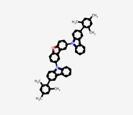 Cc1cc(C)c(-c2ccc3c(c2)c2ccccc2n3-c2ccc3oc4ccc(-n5c6ccccc6c6cc(-c7c(C)cc(C)cc7C)ccc65)cc4c3c2)c(C)c1